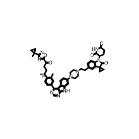 Cc1cc(-c2ncnc3[nH]c4cc(N5CCN(CCc6ccc7c(c6)C6(CC6)C(=O)N7C6CCC(=O)NC6=O)CC5)ccc4c23)ccc1[C@@H](C)CCC(=O)c1nc(C2(C)CC2)no1